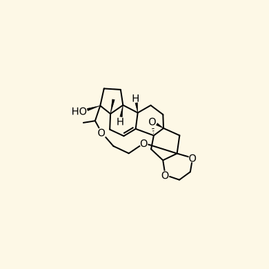 CC1OCCOC23C[C@@]45CC[C@@H]6C(=CC[C@@]7(C)[C@@H]6CC[C@@]17O)[C@@]4(CC2OCCO3)O5